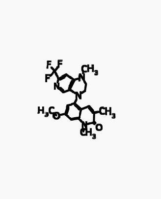 COc1cc(N2CCN(C)c3cc(C(F)(F)F)ncc32)c2cc(C)c(=O)n(C)c2c1